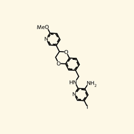 COc1ccc(C2COc3cc(CNc4ncc(I)cc4N)ccc3O2)cn1